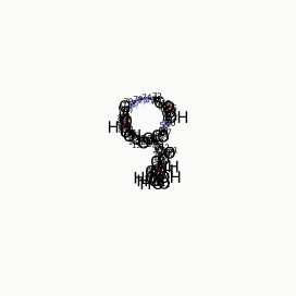 CO[C@H]1C[C@@H]2CC[C@@H](C)[C@@](O)(O2)C(=O)C(=O)N2CCCCC2C(=O)O[C@H]([C@H](C)C[C@@H]2CC[C@@H](OC(=O)NCCC(O)(P(=O)(O)O)P(=O)(O)O)[C@H](OC)C2)CC(=O)[C@H](C)/C=C(\C)[C@@H](O)[C@@H](OC)C(=O)[C@H](C)C[C@H](C)/C=C/C=C/C=C/1C